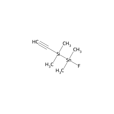 C#C[Si](C)(C)[Sn]([CH3])([CH3])[F]